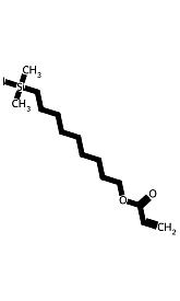 C=CC(=O)OCCCCCCCCC[Si](C)(C)I